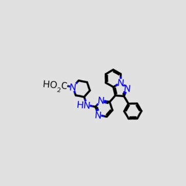 O=C(O)N1CCCC(Nc2nccc(-c3c(-c4ccccc4)nn4ccccc34)n2)C1